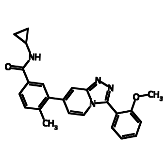 COc1ccccc1-c1nnc2cc(-c3cc(C(=O)NC4CC4)ccc3C)ccn12